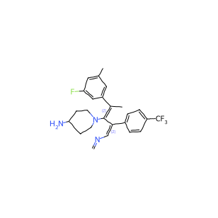 C=N/C=C(\C(=C(/C)c1cc(C)cc(F)c1)N1CCC(N)CC1)c1ccc(C(F)(F)F)cc1